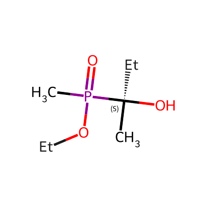 CCOP(C)(=O)[C@](C)(O)CC